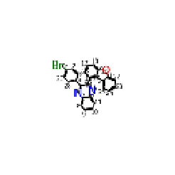 Brc1ccc(-c2nc3ccccc3nc2-c2cccc3oc4ccccc4c23)cc1